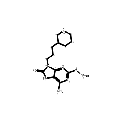 CCC[C@H](C)Oc1nc(N)c2[nH]c(=O)n(CCCC3CCCNC3)c2n1